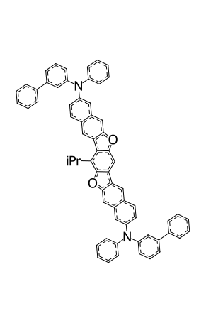 CC(C)c1c2oc3cc4cc(N(c5ccccc5)c5cccc(-c6ccccc6)c5)ccc4cc3c2cc2oc3cc4cc(N(c5ccccc5)c5cccc(-c6ccccc6)c5)ccc4cc3c12